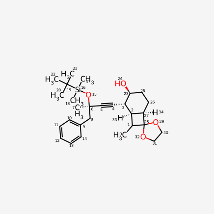 CC1[C@H]2[C@H](C#C[C@@](C)(Cc3ccccc3)O[Si](C)(C)C(C)(C)C)[C@@H](O)CC[C@H]2C12OCCO2